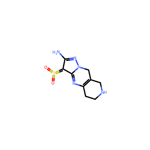 NC1=NN2CC3=C(CCNC3)N=C2C1=S(=O)=O